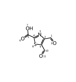 O=Cc1nc(C(=O)O)sc1C=O